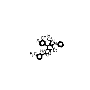 CCN1C(=O)C(NC(=O)c2cccc(C(F)(F)F)c2)C(c2ccc(F)c(C(F)(F)F)c2)c2c(C)nn(-c3ccccc3)c21